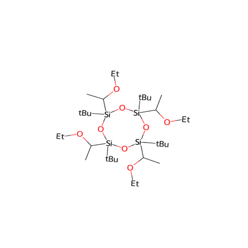 CCOC(C)[Si]1(C(C)(C)C)O[Si](C(C)OCC)(C(C)(C)C)O[Si](C(C)OCC)(C(C)(C)C)O[Si](C(C)OCC)(C(C)(C)C)O1